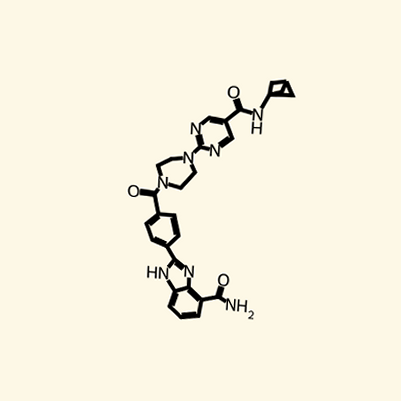 NC(=O)c1cccc2[nH]c(-c3ccc(C(=O)N4CCN(c5ncc(C(=O)NC67CC(C6)C7)cn5)CC4)cc3)nc12